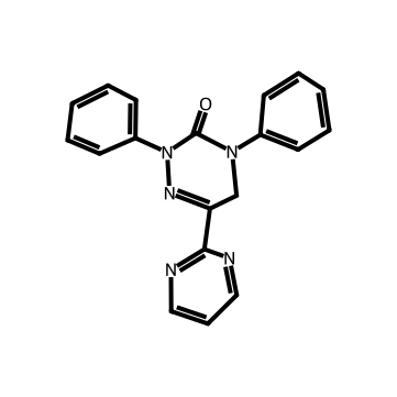 O=C1N(c2ccccc2)CC(c2ncccn2)=NN1c1ccccc1